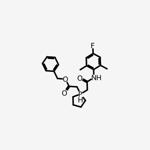 Cc1cc(F)cc(C)c1NC(=O)C[PH]1(CC(=O)OCc2ccccc2)CCCC1